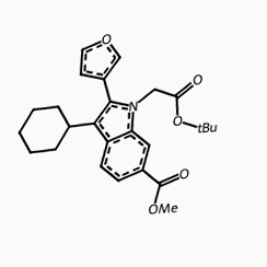 COC(=O)c1ccc2c(C3CCCCC3)c(-c3ccoc3)n(CC(=O)OC(C)(C)C)c2c1